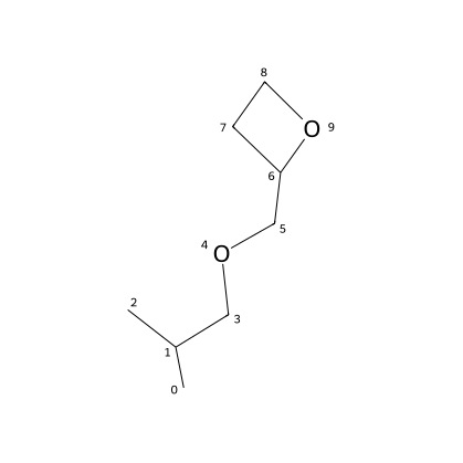 CC(C)COCC1CCO1